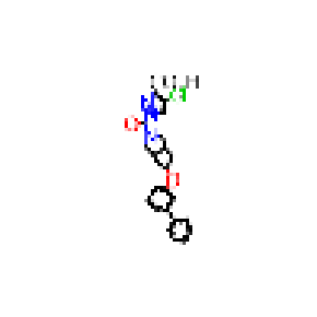 O=C(O)c1nn(C(=O)N2CC3CC(Oc4cccc(-c5ccccc5)c4)CC3C2)cc1Cl